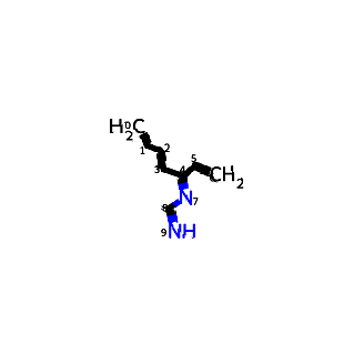 C=C/C=C/C(C=C)=N\C=N